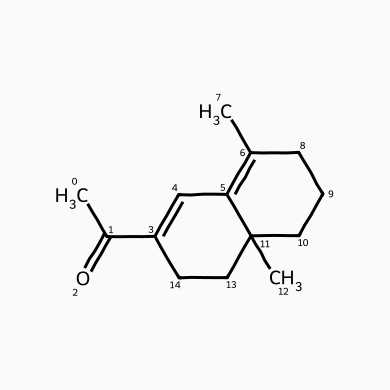 CC(=O)C1=CC2=C(C)CCCC2(C)CC1